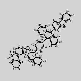 CC1(C)c2ccccc2-c2c1ccc1oc3c(-c4ccc(-c5c6ccccc6c(-c6ccc7c(c6)sc6ccccc67)c6ccccc56)cc4)c4ccccc4cc3c21